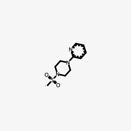 [CH2]S(=O)(=O)N1CCN(c2ccccn2)CC1